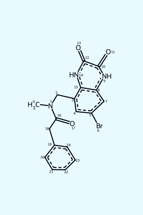 CN(Cc1cc(Br)cc2[nH]c(=O)c(=O)[nH]c12)C(=O)Cc1ccccc1